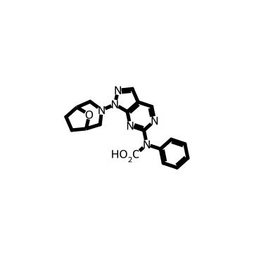 O=C(O)N(c1ccccc1)c1ncc2cnn(N3CC4CCC(C3)O4)c2n1